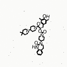 Cc1cc(C[C@@H](OC(=O)N2CCC(N3CCc4ccccc4NC3=O)CC2)C(=O)N2CCC(N3CCC(C)(C)CC3)CC2)cc(C)c1O